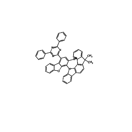 CC1(C)c2ccccc2-c2c1ccc1c3ccccc3n(-c3c(C#N)cc(-c4nc(-c5ccccc5)nc(-c5ccccc5)n4)c4c3oc3ccccc34)c21